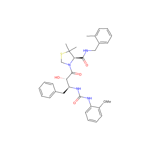 COc1ccccc1NC(=O)N[C@@H](Cc1ccccc1)[C@H](O)C(=O)N1CSC(C)(C)[C@H]1C(=O)NCc1ccccc1C